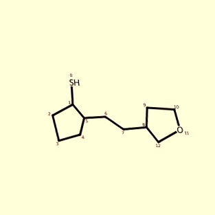 SC1CCCC1CCC1CCOC1